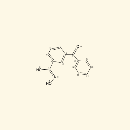 N#CC(=NO)c1cccc(C(=O)c2ccccc2)c1